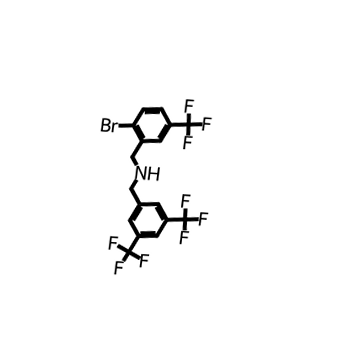 FC(F)(F)c1cc(CNCc2cc(C(F)(F)F)ccc2Br)cc(C(F)(F)F)c1